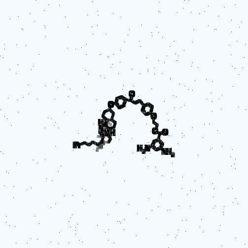 CC(C)CCC[C@@H](C)[C@H]1CC[C@H]2[C@@H]3CCC4CC(Oc5ccc(C(=O)C=Cc6ccc(OCCOC(=O)c7cc(N)cc(N)c7)cc6)cc5)CC[C@]4(C)[C@H]3CC[C@]12C